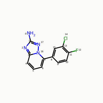 Nc1nc2cccc(-c3ccc(F)c(Cl)c3)n2n1